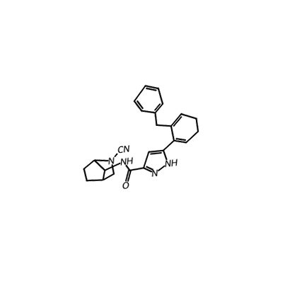 N#CN1CC2CCC1C2NC(=O)c1cc(C2=CCCC=C2Cc2ccccc2)[nH]n1